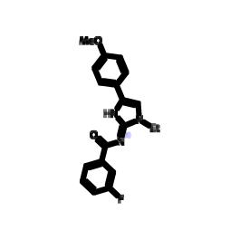 CCn1cc(-c2ccc(OC)cc2)[nH]/c1=N\C(=O)c1cccc(F)c1